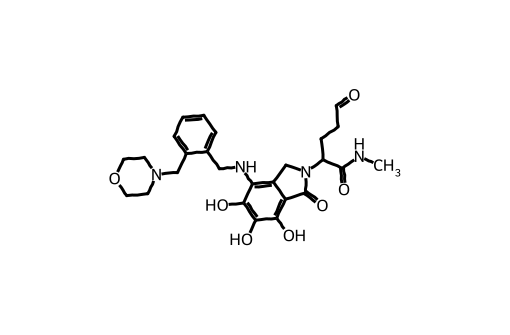 CNC(=O)C(CCC=O)N1Cc2c(NCc3ccccc3CN3CCOCC3)c(O)c(O)c(O)c2C1=O